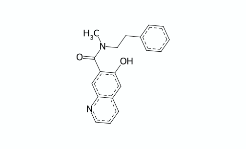 CN(CCc1ccccc1)C(=O)c1cc2ncccc2cc1O